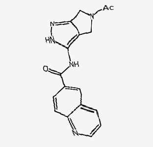 CC(=O)N1Cc2n[nH]c(NC(=O)c3ccc4ncccc4c3)c2C1